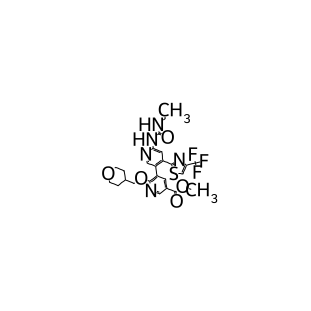 CCNC(=O)Nc1cc(-c2nc(C(F)(F)F)cs2)c(-c2cc(C(=O)OC)cnc2OCC2CCOCC2)cn1